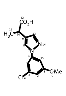 COc1cc(Cl)cc(-n2cc(C(C)C(=O)O)cn2)c1